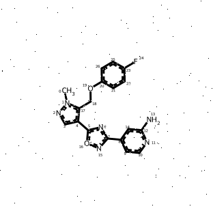 Cn1ncc(-c2nc(-c3ccnc(N)c3)no2)c1COc1ccc(F)cc1